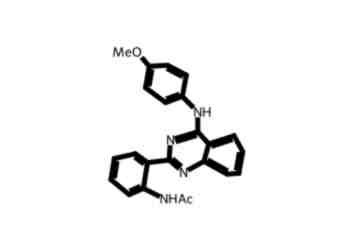 COc1ccc(Nc2nc(-c3ccccc3NC(C)=O)nc3ccccc23)cc1